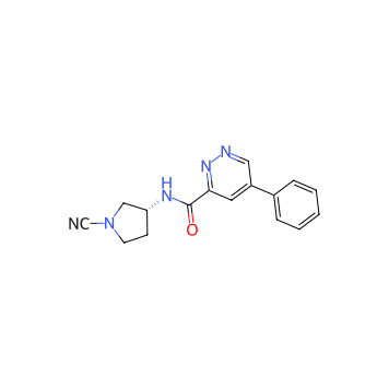 N#CN1CC[C@@H](NC(=O)c2cc(-c3ccccc3)cnn2)C1